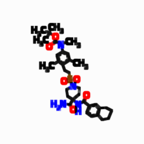 Cc1cc(N(C)C(=O)OC(C)(C)C)cc(C)c1CCS(=O)(=O)N1CCC(NC(=O)c2ccc3c(c2)CCCC3)(C(N)=O)CC1